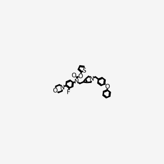 O=C(Oc1cccs1)N(CC1C2CN(Cc3ccc(Oc4ccccc4)cc3)CC21)c1ccc(N2CCOCC2)c(F)c1